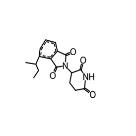 CCC(C)c1cccc2c1C(=O)N(C1CCC(=O)NC1=O)C2=O